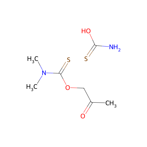 CC(=O)COC(=S)N(C)C.NC(O)=S